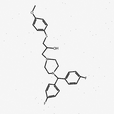 COc1ccc(SCC(O)CN2CCN(C(c3ccc(F)cc3)c3ccc(F)cc3)CC2)cc1